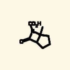 CC12CCCC1C(=O)N2C(=O)O